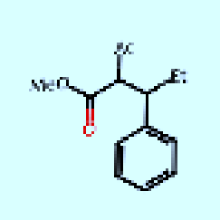 CCC(c1ccccc1)C(C(C)=O)C(=O)OC